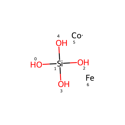 O[Si](O)(O)O.[Co].[Fe]